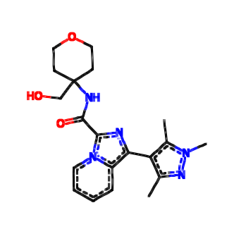 Cc1nn(C)c(C)c1-c1nc(C(=O)NC2(CO)CCOCC2)n2ccccc12